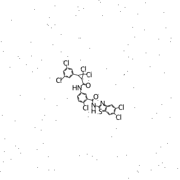 O=C(Nc1nc2cc(Cl)c(Cl)cc2s1)c1cc(NC(=O)C2C(c3cc(Cl)cc(Cl)c3)C2(Cl)Cl)ccc1Cl